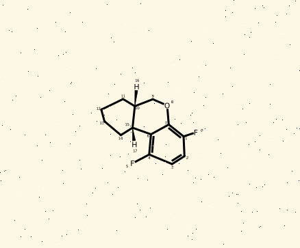 Fc1ccc(F)c2c1OC[C@H]1CCCC[C@@H]21